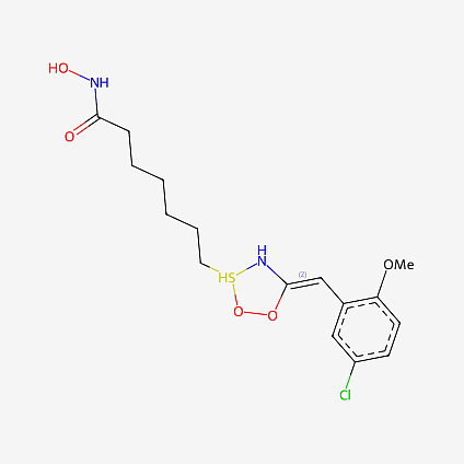 COc1ccc(Cl)cc1/C=C1/N[SH](CCCCCCC(=O)NO)OO1